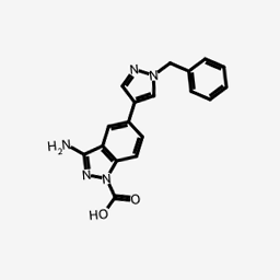 Nc1nn(C(=O)O)c2ccc(-c3cnn(Cc4ccccc4)c3)cc12